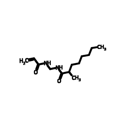 C=CC(=O)NCNC(=O)C(C)CCCCCC